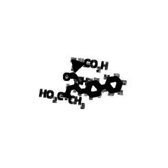 CC(CC(Cc1ccc(-c2ccccc2)cc1)NC(=O)[C@@H]1C[C@H]1C(=O)O)C(=O)O